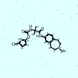 CC(C)N1CCc2ccc(NC(=O)C(C)(C)NC(=O)Oc3ccc(Cl)s3)cc2CC1